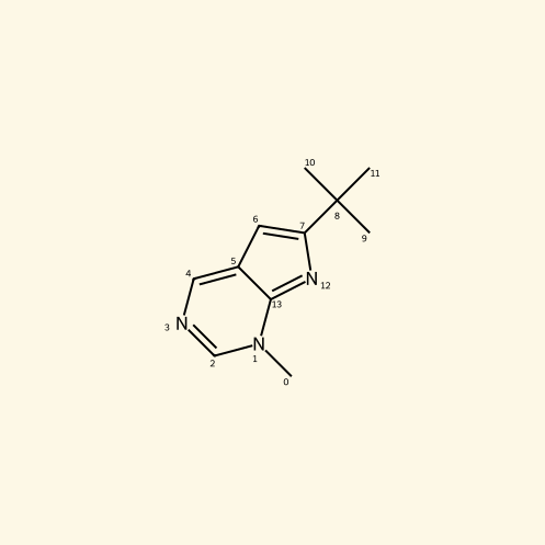 Cn1cncc2cc(C(C)(C)C)nc1-2